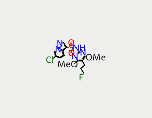 COc1nc(NS(=O)(=O)c2cnn3cc(Cl)ccc23)nc(OC)c1CCCF